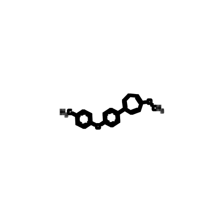 COC1=CCC=C(c2ccc(Oc3ccc(C)cc3)cc2)C=C1